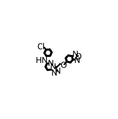 Clc1cccc(Nc2ccc3nnc(COc4ccc5nonc5c4)n3n2)c1